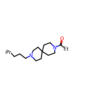 CCC(=O)N1CCC2(CCN(CCCC(C)C)CC2)CC1